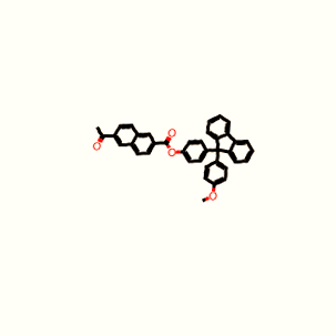 COc1ccc(C2(c3ccc(OC(=O)c4ccc5cc(C(C)=O)ccc5c4)cc3)c3ccccc3-c3ccccc32)cc1